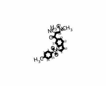 Cc1ccc(S(=O)(=O)n2ccc3ccc(C(=O)C(C#N)=CN(C)C)cc32)cc1